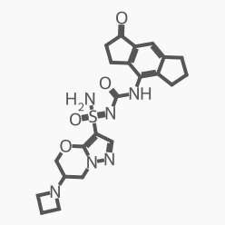 NS(=O)(=NC(=O)Nc1c2c(cc3c1CCC3=O)CCC2)c1cnn2c1OCC(N1CCC1)C2